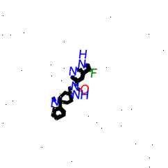 CN(C)C1(c2ccccc2)CCC2(CC1)CN(c1cnc3[nH]cc(F)c3c1)C(=O)N2